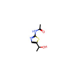 CC(=O)Nc1ncc(C(C)O)s1